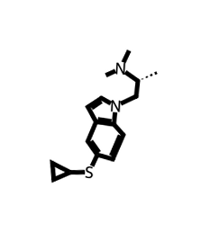 C[C@H](Cn1ccc2cc(SC3CC3)ccc21)N(C)C